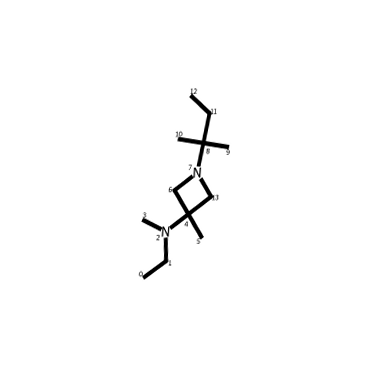 CCN(C)C1(C)CN(C(C)(C)CC)C1